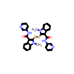 Cn1c(SSc2c(C(=O)Nc3cccnc3)c3ccccc3n2C)c(C(=O)Nc2cccnc2)c2ccccc21